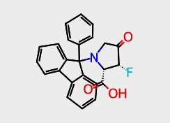 O=C1CN(C2(c3ccccc3)c3ccccc3-c3ccccc32)[C@@H](C(=O)O)[C@H]1F